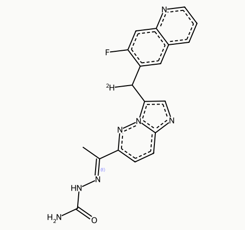 [2H]C(c1cc2cccnc2cc1F)c1cnc2ccc(/C(C)=N/NC(N)=O)nn12